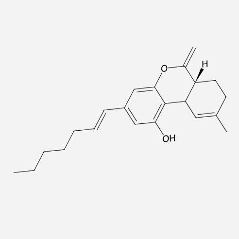 C=C1Oc2cc(/C=C/CCCCC)cc(O)c2C2C=C(C)CC[C@@H]12